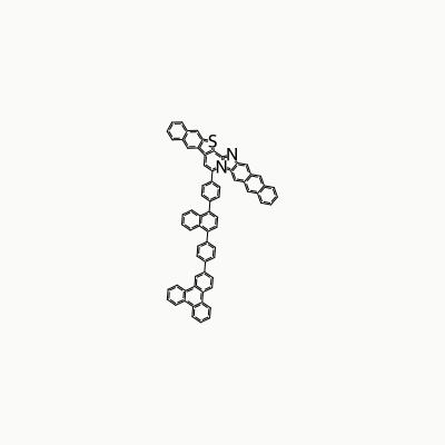 c1ccc2cc3cc4c(cc3cc2c1)nc1c2sc3cc5ccccc5cc3c2cc(-c2ccc(-c3ccc(-c5ccc(-c6ccc7c8ccccc8c8ccccc8c7c6)cc5)c5ccccc35)cc2)n41